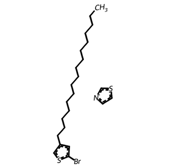 CCCCCCCCCCCCCCCCc1csc(Br)c1.c1cscn1